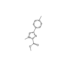 COC(=O)c1nc(-c2ccc(C)cc2)cn1C